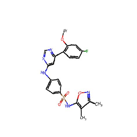 Cc1noc(NS(=O)(=O)c2ccc(Nc3cc(-c4ccc(F)cc4OC(C)C)ncn3)cc2)c1C